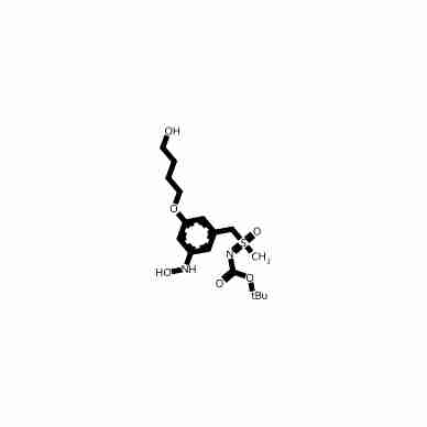 CC(C)(C)OC(=O)N=S(C)(=O)Cc1cc(NO)cc(OCCCCO)c1